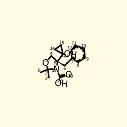 CC1(C)OC[C@](Cc2ccccc2)(C2(O)CC2)N1C(=O)O